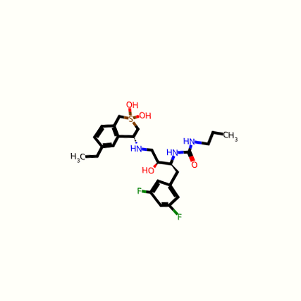 CCCNC(=O)N[C@@H](Cc1cc(F)cc(F)c1)[C@@H](O)CN[C@H]1CS(O)(O)Cc2ccc(CC)cc21